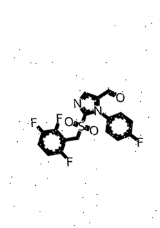 O=[C]c1cnc(S(=O)(=O)Cc2c(F)ccc(F)c2F)n1-c1ccc(F)cc1